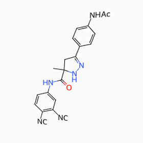 [C-]#[N+]c1ccc(NC(=O)C2(C)CC(c3ccc(NC(C)=O)cc3)=NN2)cc1[N+]#[C-]